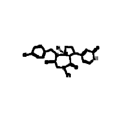 CC(C)N1CC(=O)N(Cc2ccc(Cl)cc2)[C@H]2CCN(c3cc[nH]c(=O)c3)C2C1=O